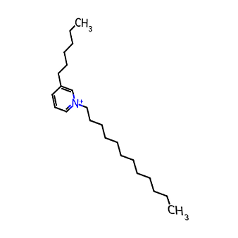 CCCCCCCCCCCC[n+]1cccc(CCCCCC)c1